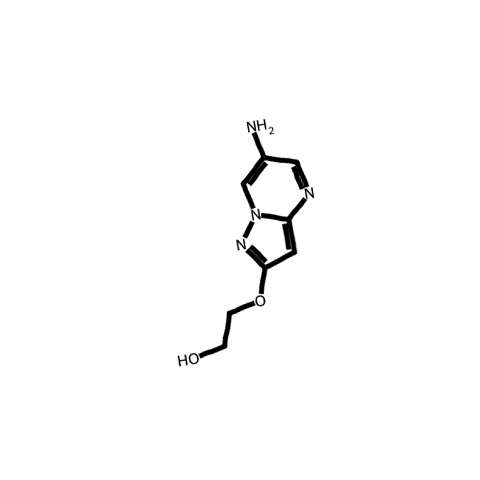 Nc1cnc2cc(OCCO)nn2c1